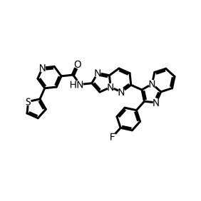 O=C(Nc1cn2nc(-c3c(-c4ccc(F)cc4)nc4ccccn34)ccc2n1)c1cncc(-c2cccs2)c1